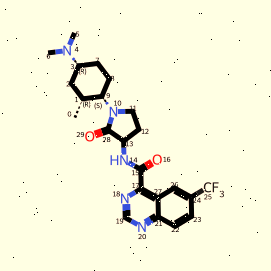 C[C@@H]1C[C@H](N(C)C)CC[C@@H]1N1CCC(NC(=O)c2ncnc3ccc(C(F)(F)F)cc23)C1=O